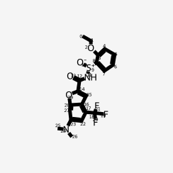 CCOc1ccccc1[S+]([O-])NC(=O)c1cc2c(C(F)(F)F)cc(N(C)C)cc2o1